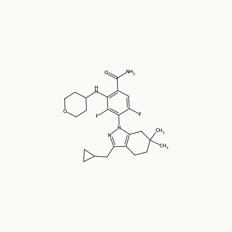 CC1(C)CCc2c(CC3CC3)nn(-c3c(F)cc(C(N)=O)c(NC4CCOCC4)c3F)c2C1